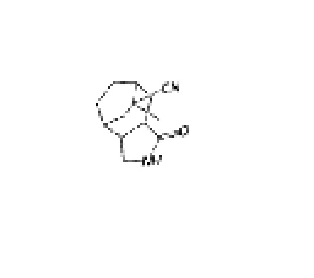 CC1(C#N)CC2CCC1CC1C(=O)NCC21